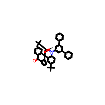 CC(C)(C)c1ccc2c(c1)C1(c3ccccc3C(=O)c3ccccc31)c1cc(C(C)(C)C)ccc1N2c1cc(-c2ccccc2)cc(-c2ccccc2)c1